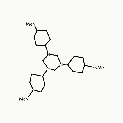 CNC1CCC(N2CN(C3CCC(NC)CC3)CN(C3CCC(NC)CC3)C2)CC1